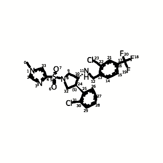 Cn1cnc(S(=O)(=O)N2C[C@H](NCc3ccc(C(F)(F)F)cc3Cl)[C@@H](c3ccccc3Cl)C2)c1